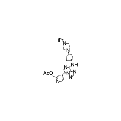 CC(=O)OCc1cc(-c2cnc(Nc3ccc(N4CCN(C(C)C)CC4)cc3)c3ncnn23)ccn1